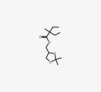 CCC(C)(CC)C(=O)OCC1COC(C)(C)O1